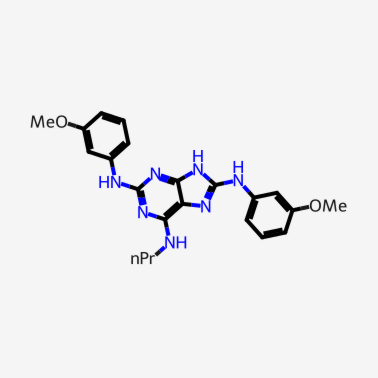 CCCNc1nc(Nc2cccc(OC)c2)nc2[nH]c(Nc3cccc(OC)c3)nc12